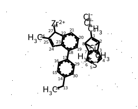 CC1=C2c3cscc3C1[Si]2(C)C.CCc1ccc(-c2cccc3c2C=C(C)[CH]3[Zr+2])cc1.[Cl-].[Cl-]